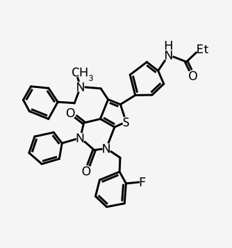 CCC(=O)Nc1ccc(-c2sc3c(c2CN(C)Cc2ccccc2)c(=O)n(-c2ccccc2)c(=O)n3Cc2ccccc2F)cc1